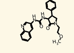 COCCN1CC(c2ccccc2)C(NC(=O)Nc2cnc3ccccc3c2)C1=O